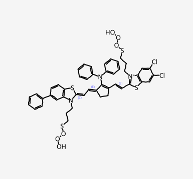 OOOSCCCN1/C(=C/C=C2\CCC(/C=C/c3sc4cc(Cl)c(Cl)cc4[n+]3CCCSOOO)=C2N(c2ccccc2)c2ccccc2)Sc2ccc(-c3ccccc3)cc21